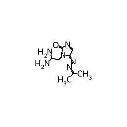 CC(C)=NN=C1C=NC(=O)N1CC(N)N